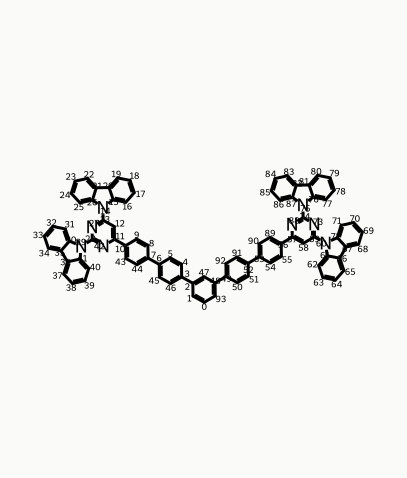 c1cc(-c2ccc(-c3ccc(-c4cc(-n5c6ccccc6c6ccccc65)nc(-n5c6ccccc6c6ccccc65)n4)cc3)cc2)cc(-c2ccc(-c3ccc(-c4cc(-n5c6ccccc6c6ccccc65)nc(-n5c6ccccc6c6ccccc65)n4)cc3)cc2)c1